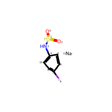 O=[SH](=O)Nc1ccc(I)cc1.[Na]